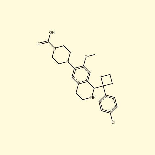 COc1cc2c(cc1N1CCN(C(=O)O)CC1)CCNC2C1(c2ccc(Cl)cc2)CCC1